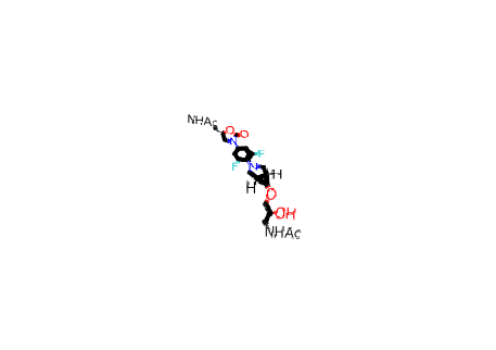 CC(=O)NC[C@@H](O)COC1[C@H]2CN(c3c(F)cc(N4C[C@H](CNC(C)=O)OC4=O)cc3F)C[C@@H]12